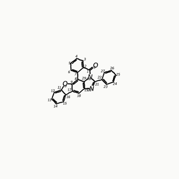 O=c1c2ccccc2c2c3oc4ccccc4c3cc3nc(-c4ccccc4)n1c32